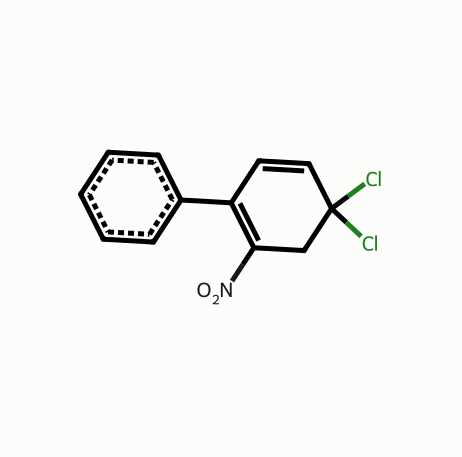 O=[N+]([O-])C1=C(c2ccccc2)C=CC(Cl)(Cl)C1